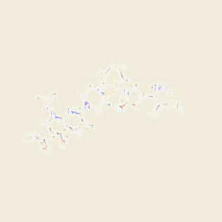 CC(=O)C(N)[C@@H]1CN(C2(F)C=CC=CC2N2CCN(c3nc4c(cc3F)c(=O)c(C(=O)O)cn4C3CC3)CC2)C(=O)O1